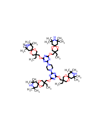 CCC1(COc2nc(OCC3(CC)COC4(CC(C)(C)NC(C)(C)C4)OC3)nc(N3CCN(c4nc(OCC5(CC)COC6(CC(C)(C)NC(C)(C)C6)OC5)nc(OCC5(CC)COC6(CC(C)(C)NC(C)(C)C6)OC5)n4)CC3)n2)COC2(CC(C)(C)NC(C)(C)C2)OC1